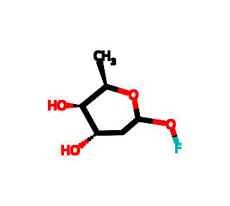 C[C@H]1OC(OF)C[C@H](O)[C@@H]1O